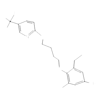 CCc1cc(O)cc(C)c1OCCCCOc1ccc(C(F)(F)F)cn1